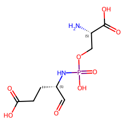 N[C@@H](COP(=O)(O)N[C@H](C=O)CCC(=O)O)C(=O)O